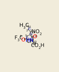 C/C=C/C(=C(\C=C(/C)OC(F)(F)F)C(=O)NCC(=O)O)[N+](=O)[O-]